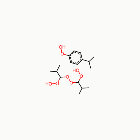 CC(C)C(OO)OOC(OO)C(C)C.CC(C)c1ccc(OO)cc1